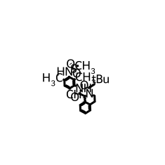 Cc1cc(C)c(NS(C)(=O)=O)c(C)c1NC(=O)C1c2ccccc2CCN1C(=O)CC(C)(C)C